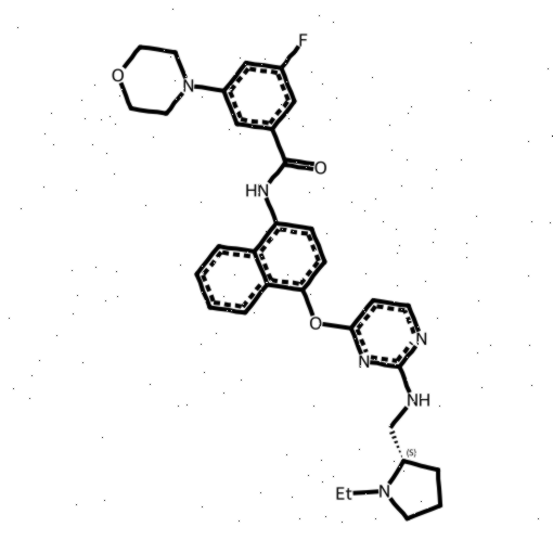 CCN1CCC[C@H]1CNc1nccc(Oc2ccc(NC(=O)c3cc(F)cc(N4CCOCC4)c3)c3ccccc23)n1